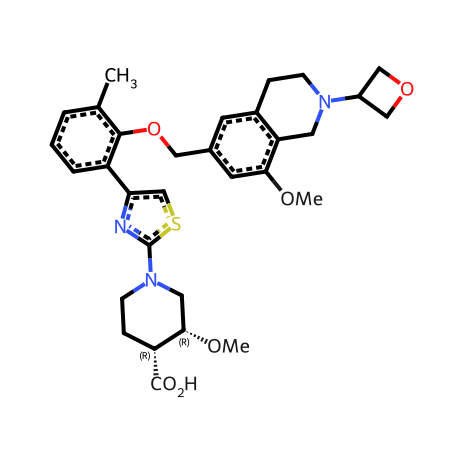 COc1cc(COc2c(C)cccc2-c2csc(N3CC[C@@H](C(=O)O)[C@@H](OC)C3)n2)cc2c1CN(C1COC1)CC2